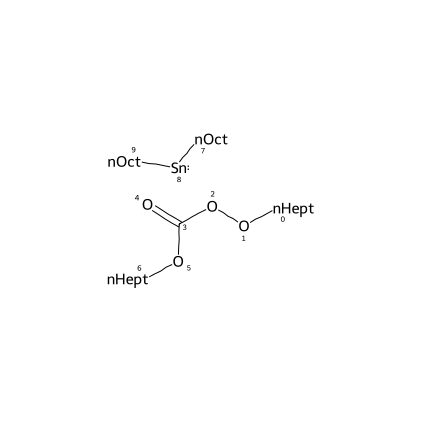 CCCCCCCOOC(=O)OCCCCCCC.CCCCCCC[CH2][Sn][CH2]CCCCCCC